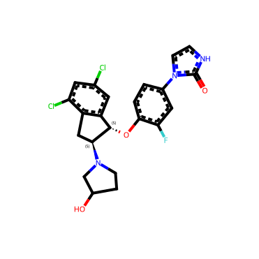 O=c1[nH]ccn1-c1ccc(O[C@H]2c3cc(Cl)cc(Cl)c3C[C@@H]2N2CCC(O)C2)c(F)c1